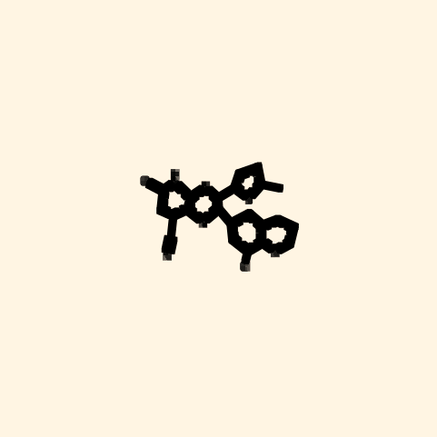 Cc1ccc(-c2nc3[nH]c(=O)cc(C#N)c3nc2-c2cc(Cl)c3ncccc3c2)s1